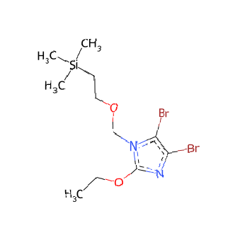 CCOc1nc(Br)c(Br)n1COCC[Si](C)(C)C